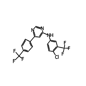 FC(F)(F)c1ccc(-c2cc(Nc3ccc(Cl)c(C(F)(F)F)c3)ncn2)cc1